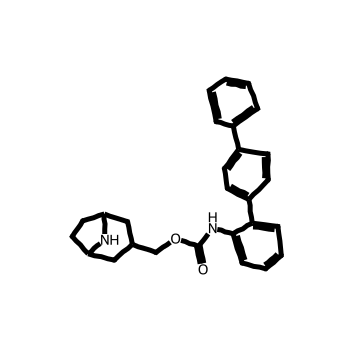 O=C(Nc1ccccc1-c1ccc(-c2ccccc2)cc1)OCC1CC2CCC(C1)N2